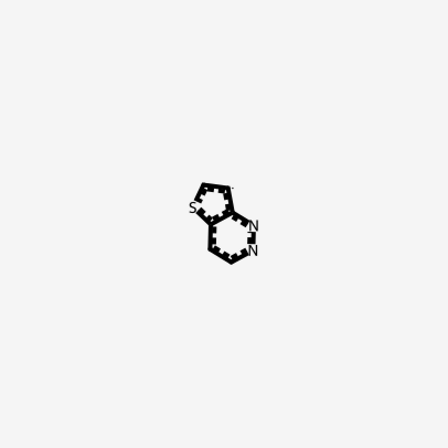 [c]1csc2ccnnc12